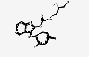 O=C(NOC[C@H](O)CO)Oc1oc2ccncc2c1Nc1ccc(I)cc1F